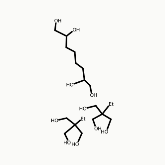 CCC(CO)(CO)CO.CCC(CO)(CO)CO.OCC(O)CCCCC(O)CO